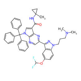 CN(C)CCCn1nc(-c2cnc3c(n2)c(C(=O)NC2(C)CC2)cn3C(c2ccccc2)(c2ccccc2)c2ccccc2)c2cc(OC(F)F)ccc21